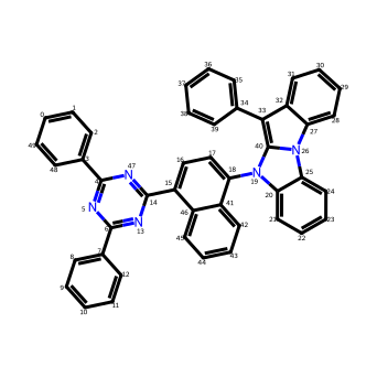 c1ccc(-c2nc(-c3ccccc3)nc(-c3ccc(-n4c5ccccc5n5c6ccccc6c(-c6ccccc6)c45)c4ccccc34)n2)cc1